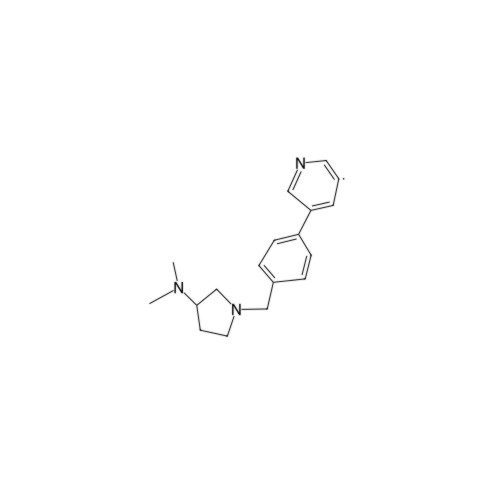 CN(C)C1CCN(Cc2ccc(-c3c[c]cnc3)cc2)C1